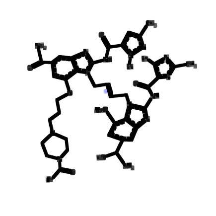 CCc1nc(C)sc1C(=O)Nc1nc2cc(C(N)O)cc(OC)c2n1C/C=C/Cn1c(NC(=O)c2cc(C)nn2CC)nc2cc(C(N)=O)cc(OCCCN3CCN(C(=O)C(C)C)CC3)c21